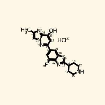 Cc1cn2nc(-c3cc(F)c4nc(C5CCNCC5)sc4c3)cc(O)c2n1.Cl